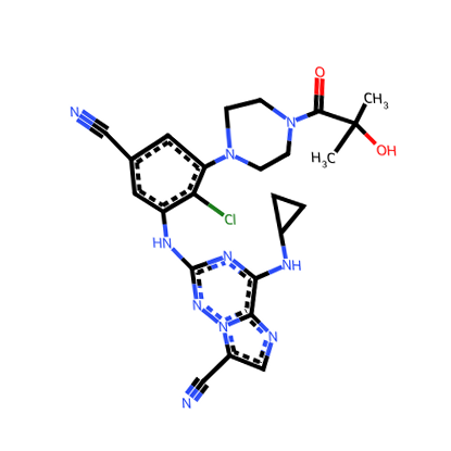 CC(C)(O)C(=O)N1CCN(c2cc(C#N)cc(Nc3nc(NC4CC4)c4ncc(C#N)n4n3)c2Cl)CC1